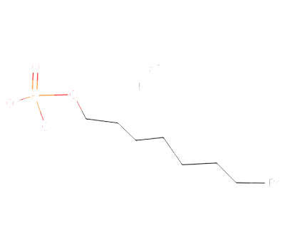 CC(C)CCCCCCCOP(=O)([O-])[O-].[K+].[K+]